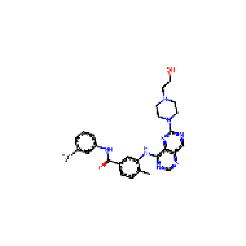 Cc1ccc(C(=O)Nc2cccc(C(F)(F)F)c2)cc1Nc1ncnc2cnc(N3CCN(CCO)CC3)nc12